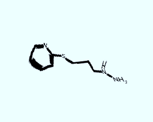 NNCCCSc1ccccn1